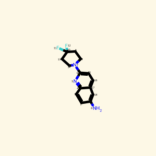 Nc1ccc2nc(N3CCC(F)(F)CC3)ccc2c1